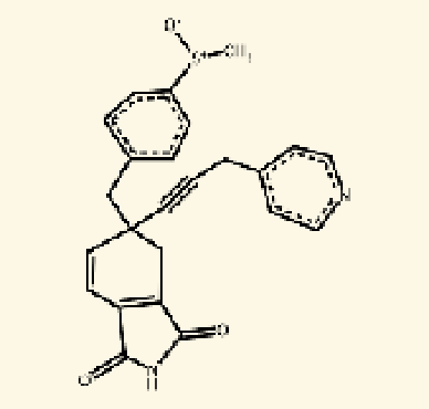 C[S+]([O-])c1ccc(CC2(C#CCc3ccncc3)C=CC3=C(C2)C(=O)NC3=O)cc1